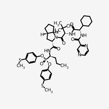 CCC[C@H](NC(=O)[C@@H]1C[C@@H]2CCC[C@@H]2N1C(=O)[C@@H](NC(=O)[C@@H](NC(=O)c1cnccn1)C1CCCCC1)C(C)(C)C)P(=O)(Oc1ccc(SC)cc1)Oc1ccc(SC)cc1